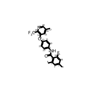 Cc1cc(C)c(C(=O)Nc2ccc(Oc3cc(C)cnc3C(F)(F)F)cc2)c(F)c1